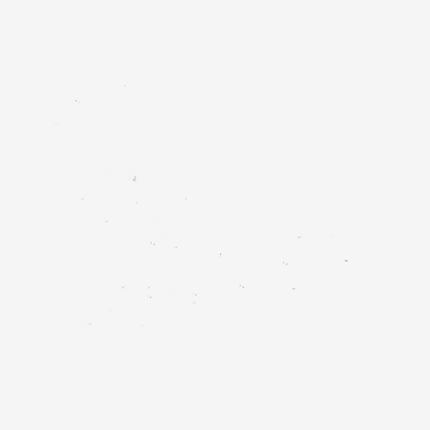 Cc1cc(C2NC(C(=O)Nc3cc4sc(N5CCOCC5)nc4nc3N3CC(O)C3)=CO2)ccn1